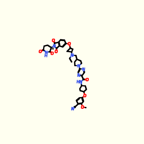 CCN(CC1CCN(c2cnc(C(=O)NC3CCC(Oc4ccc(C#N)c(OC)c4)CC3)cn2)CC1)C1CC(Oc2ccc3c(c2)C(=O)N([C@@H]2CCC(=O)NC2=O)C3=O)C1